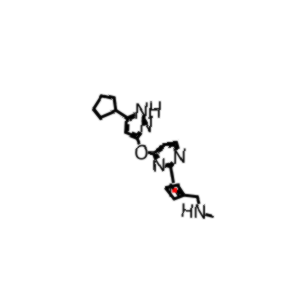 CNCC12CC(C1)N(c1nccc(Oc3cc(C4CCCC4)[nH]n3)n1)C2